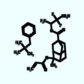 C=CC(=O)OC1(C)C2CC3CC1CC(C(=O)OC(C(F)(F)F)C(F)(F)S(=O)(=O)O)(C3)C2.C[N+](C)(C)Cc1ccccc1